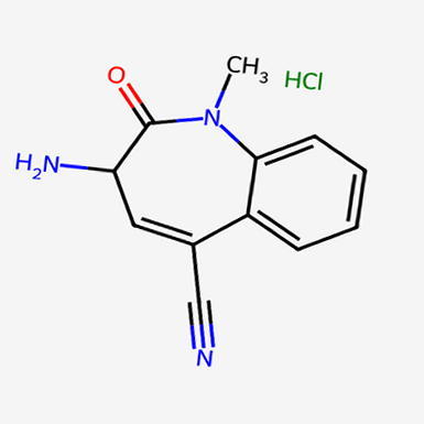 CN1C(=O)C(N)C=C(C#N)c2ccccc21.Cl